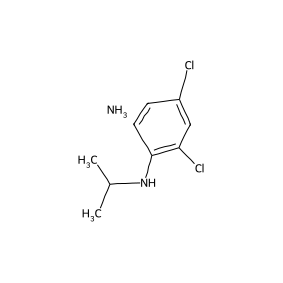 CC(C)Nc1ccc(Cl)cc1Cl.N